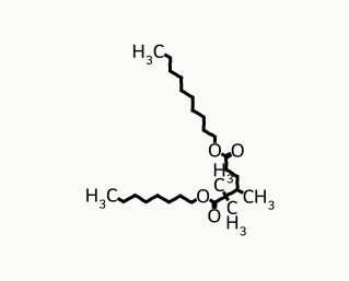 CCCCCCCCCCOC(=O)CCC(C)C(C)(C)C(=O)OCCCCCCCC